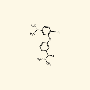 CC(=O)O[C@@H](C)c1ccc([N+](=O)[O-])c(Oc2cccc(C(=O)N(C)C)c2)c1